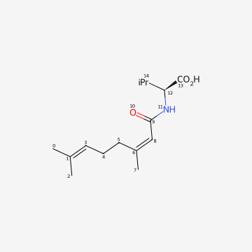 CC(C)=CCCC(C)=CC(=O)N[C@H](C(=O)O)C(C)C